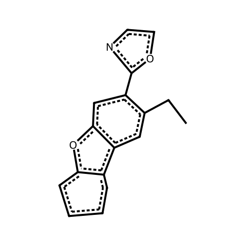 CCc1cc2c(cc1-c1ncco1)oc1ccccc12